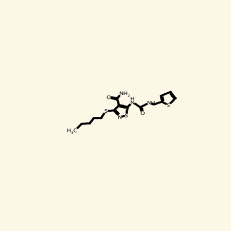 CCCCCSc1nsc(NC(=O)NCc2cccs2)c1C(N)=O